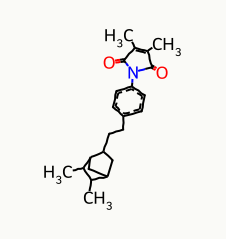 CC1=C(C)C(=O)N(c2ccc(CCC3CC4CC3C(C)C4C)cc2)C1=O